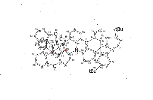 CC(C)(C)c1ccc2c(c1)C1(c3ccccc3Oc3c(N(c4ccc5c(c4)C4(c6ccccc6O5)c5ccccc5-c5ccccc54)c4ccccc4-c4cccc5c4oc4ccccc45)cccc31)c1cc(C(C)(C)C)ccc1-2